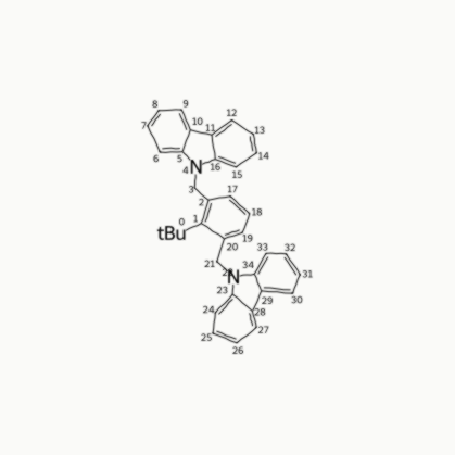 CC(C)(C)c1c(Cn2c3ccccc3c3ccccc32)cccc1Cn1c2ccccc2c2ccccc21